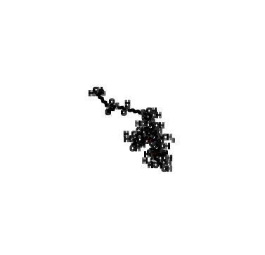 CNC(=O)CCCCCN1C(=O)CC(SCCC(=O)NCCCCCO[C@@H]2OC(CO)[C@@H](O[C@@H]3OC(CO)[C@H](O)[C@H](O[C@@H]4OC(CO[C@]5(C(=O)O)C[C@@H](O)[C@@H](C)C([C@H](O)[C@H](O)CO)O5)[C@@H](O)[C@H](O[C@@H]5OC(CO)[C@H](O)[C@H](O[C@@]6(C(=O)O)CC(O)[C@H](C)C([C@H](O)[C@H](O)CO)O6)C5O)C4NC(C)=O)C3O)[C@H](O)C2O)C1=O